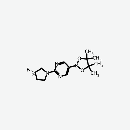 CC1(C)OB(c2cnc(N3CC[C@H](F)C3)nc2)OC1(C)C